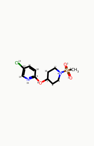 CS(=O)(=O)N1CCC(Oc2ccc(Cl)cn2)CC1